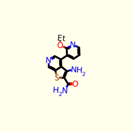 CCOc1ncccc1-c1cncc2sc(C(N)=O)c(N)c12